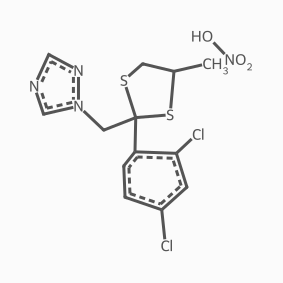 CC1CSC(Cn2cncn2)(c2ccc(Cl)cc2Cl)S1.O=[N+]([O-])O